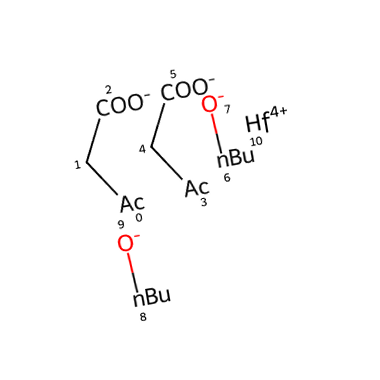 CC(=O)CC(=O)[O-].CC(=O)CC(=O)[O-].CCCC[O-].CCCC[O-].[Hf+4]